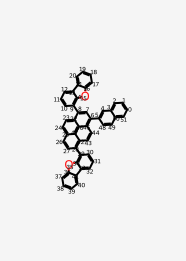 c1ccc2cc(-c3cc(-c4cccc5c4oc4ccccc45)c4ccc5ccc(-c6cccc7c6oc6ccccc67)c6ccc3c4c56)ccc2c1